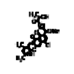 COC(c1cc(Cl)c2c(c1Cl)C(=O)N(Cc1c(C)cc(C)[nH]c1=O)CC2)C1CN(C(=O)[C@@H](C)O)C1